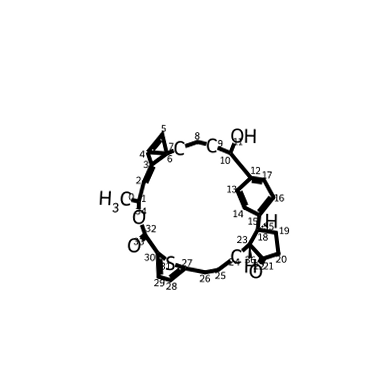 CC1C=C2C3=CC23CCCC(O)c2ccc(cc2)[C@H]2CCC(=O)[C@@H]2CCCc2ccc(s2)C(=O)O1